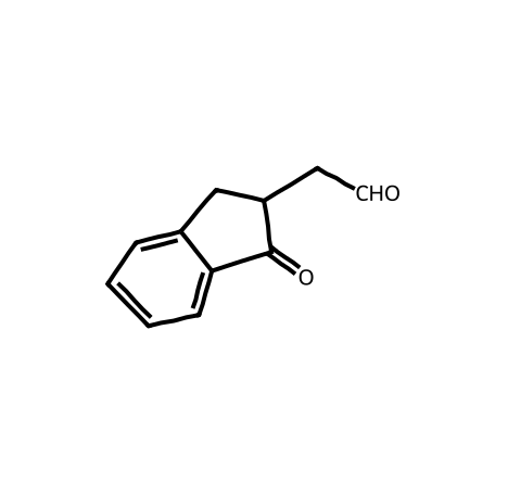 O=CCC1Cc2ccccc2C1=O